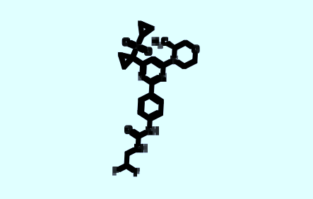 C[C@H]1COCCN1c1cc(C2(S(=O)(=O)C3CC3)CC2)nc(-c2ccc(NC(=O)NCC(F)F)cc2)n1